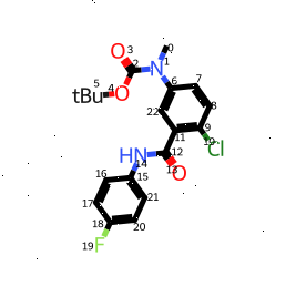 CN(C(=O)OC(C)(C)C)c1ccc(Cl)c(C(=O)Nc2ccc(F)cc2)c1